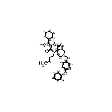 CCCCN1C(=O)[C@@H]([C@H](O)C2CCCCC2)NC(=O)C12CCN(Cc1ccc(Oc3ccccc3)nc1)CC2